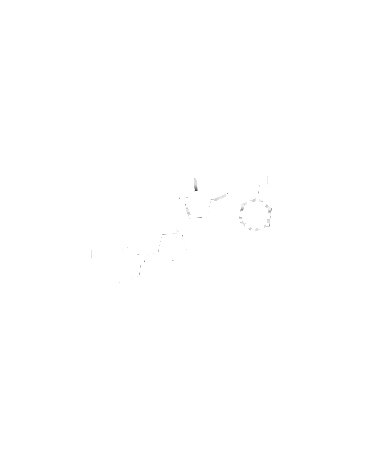 CCN(CC)C1CCN(C2=NC(=O)/C(=C/c3ccc(F)cc3O)S2)C1